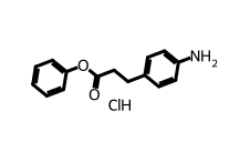 Cl.Nc1ccc(CCC(=O)Oc2ccccc2)cc1